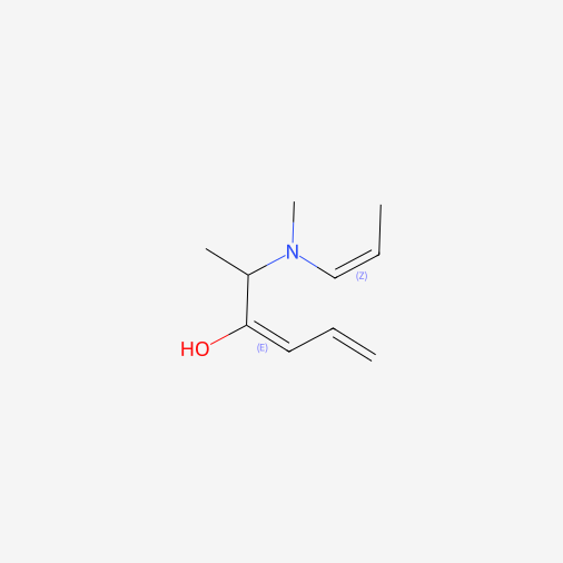 C=C/C=C(/O)C(C)N(C)/C=C\C